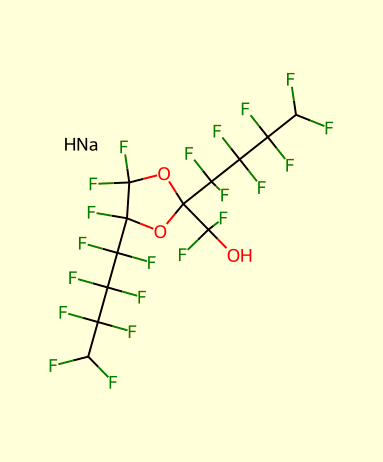 OC(F)(F)C1(C(F)(F)C(F)(F)C(F)(F)C(F)F)OC(F)(F)C(F)(C(F)(F)C(F)(F)C(F)(F)C(F)F)O1.[NaH]